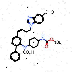 CC(C)(C)OC(=O)NC1CCC(N(C(=O)O)c2cc(/C=C\CCn3cnc4cc(C=O)ccc43)ccc2-c2ccccc2)CC1